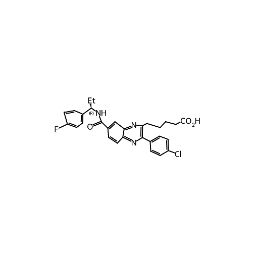 CC[C@@H](NC(=O)c1ccc2nc(-c3ccc(Cl)cc3)c(CCCCC(=O)O)nc2c1)c1ccc(F)cc1